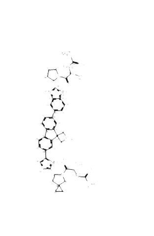 COC(=O)N[C@H](C(=O)N1CC2(CC2)C[C@H]1c1ncc(-c2ccc3c(c2)C2(COC2)c2cc(-c4ccc5[nH]c([C@@H]6CCCN6C(=O)[C@@H](NC(=O)OC)C(C)C)nc5c4)ccc2-3)[nH]1)C(C)C